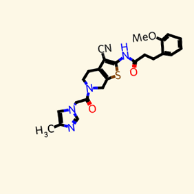 COc1ccccc1CCC(=O)Nc1sc2c(c1C#N)CCN(C(=O)Cn1cnc(C)c1)C2